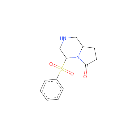 O=C1CCC2CNCC(S(=O)(=O)c3ccccc3)N12